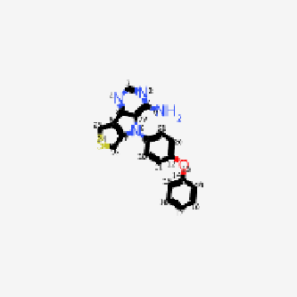 Nc1ncnc2c3c(n(-c4ccc(Oc5ccccc5)cc4)c12)CSC3